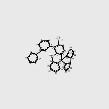 Cc1ccc2c(c1-c1cccc(-c3ccccc3)c1)Oc1ccccc1C21c2ccccc2-c2ccccc21